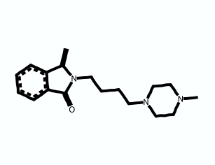 C=C1c2ccccc2C(=O)N1CCCCN1CCN(C)CC1